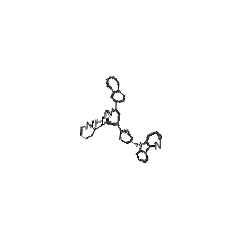 C1=CNC(c2cc(-c3ccc(-n4c5ccccc5c5ncccc54)cc3)cc(-c3ccc4ccccc4c3)n2)C=C1